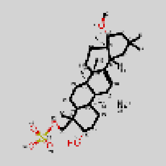 CO[C@@H]1CC(C)(C)C[C@@H]2C3=CCC4[C@@]5(C)CC[C@H](O)C(C)(COS(=O)(=O)[O-])C5CC[C@@]4(C)[C@]3(C)CC[C@]21C.[Na+]